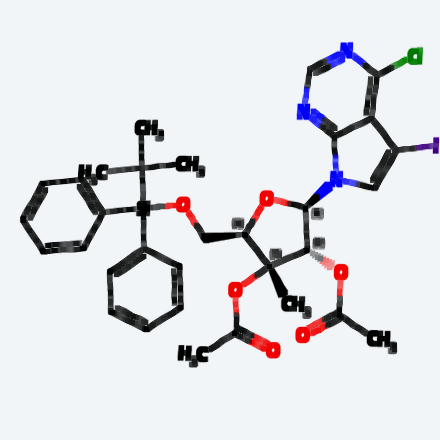 CC(=O)O[C@H]1[C@H](n2cc(I)c3c(Cl)ncnc32)O[C@H](CO[Si](c2ccccc2)(c2ccccc2)C(C)(C)C)[C@@]1(C)OC(C)=O